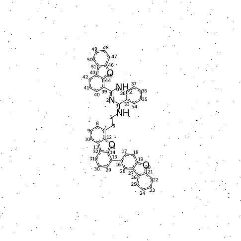 N/C(=N\C(NCCc1cccc2c1oc1c(-c3ccc4oc5ccccc5c4c3)cccc12)c1ccccc1)c1cccc2c1oc1ccccc12